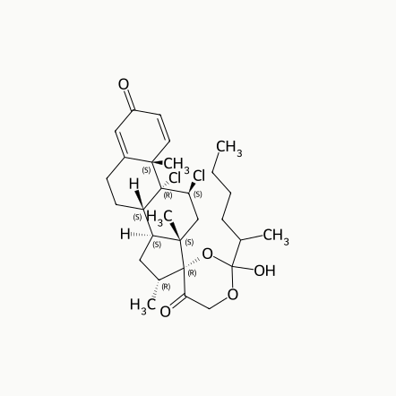 CCCCC(C)C1(O)OCC(=O)[C@@]2(O1)[C@H](C)C[C@H]1[C@@H]3CCC4=CC(=O)C=C[C@]4(C)[C@@]3(Cl)[C@@H](Cl)C[C@@]12C